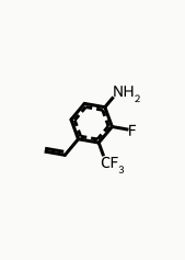 C=Cc1ccc(N)c(F)c1C(F)(F)F